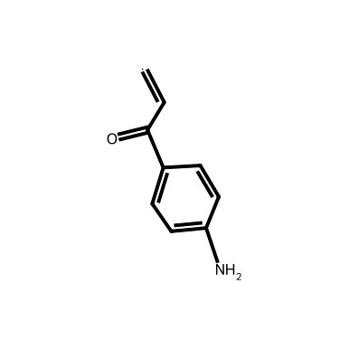 [CH]=CC(=O)c1ccc(N)cc1